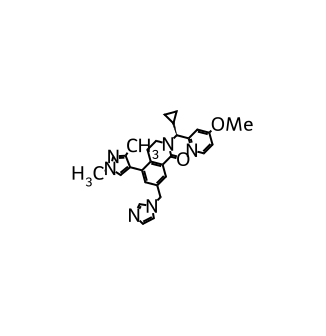 COc1ccnc([C@H](C2CC2)N2CCc3c(cc(Cn4ccnc4)cc3-c3cn(C)nc3C)C2=O)c1